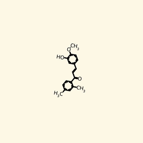 COc1ccc(C=CC(=O)c2ccc(C)cc2C)cc1O